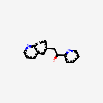 O=C(Cc1ccc2ncccc2c1)c1ccccn1